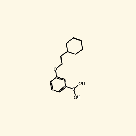 OB(O)c1cccc(OCCC2CCCCC2)c1